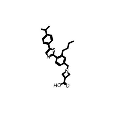 CCCCc1cc(CN2CC(C(=O)O)C2)ccc1-c1ncc(-c2ccc(C(C)C)cc2)s1